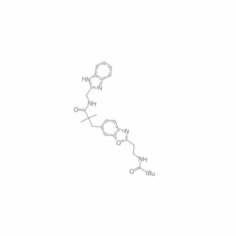 CC(C)(C)C(=O)NCCc1nc2ccc(CC(C)(C)C(=O)NCc3nc4ccccc4[nH]3)cc2o1